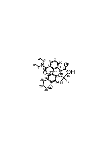 CCN(CC)C(=O)c1cccc(C(OC(C)(C)C)C(=O)O)c1-c1ccc2c(c1)CCCO2